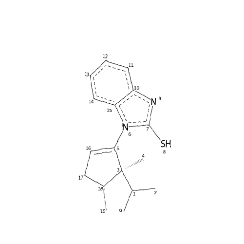 CC(C)[C@]1(C)C(n2c(S)nc3ccccc32)=CCC1C